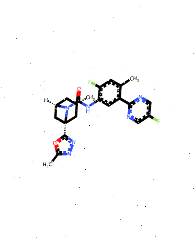 Cc1nnc([C@]23C[C@@H](C)C[C@H](C2)N3C(=O)Nc2cc(-c3ncc(F)cn3)c(C)cc2F)o1